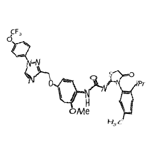 COc1cc(OCc2ncn(-c3ccc(OC(F)(F)F)cc3)n2)ccc1NC(=O)/N=C1\SCC(=O)N1c1cc(C)ccc1C(C)C